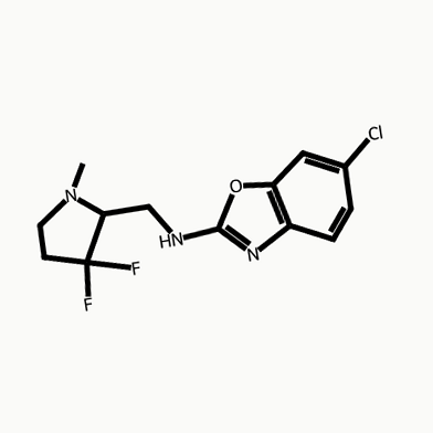 CN1CCC(F)(F)C1CNc1nc2ccc(Cl)cc2o1